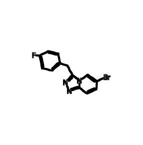 Fc1ccc(Cc2nnc3ccc(Br)cn23)cc1